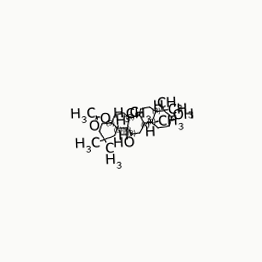 CC(=O)O[C@]12CCC(C)(C)C[C@H]1[C@H]1[C@H](O)C[C@@H]3[C@@]4(C)CC[C@H](O)C(C)(C)[C@@H]4CC[C@@]3(C)[C@]1(C)CC2